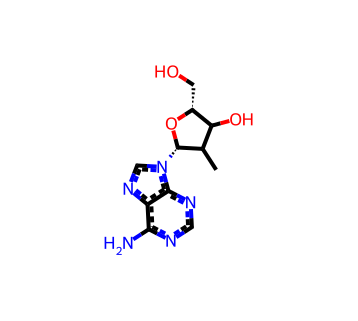 CC1C(O)[C@@H](CO)O[C@H]1n1cnc2c(N)ncnc21